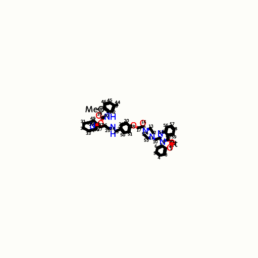 CCOc1ccccc1-n1c(CN2CCN(C(=O)COc3ccc(CNCCCCN4C5CCCC4CC(OC(=O)Nc4cc(C)ccc4OC)C5)cc3)CC2)nc2ccccc2c1=O